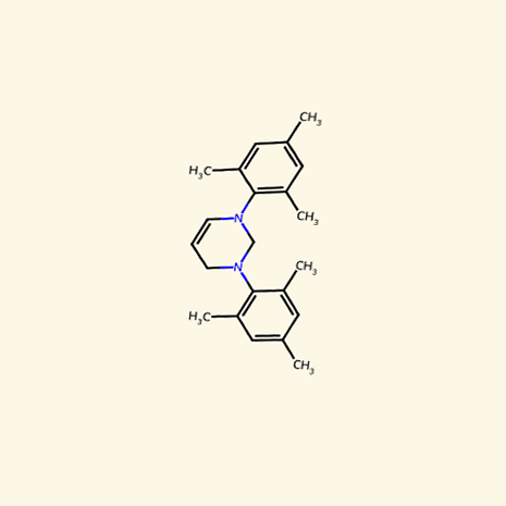 Cc1cc(C)c(N2C=CCN(c3c(C)cc(C)cc3C)C2)c(C)c1